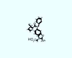 CCCc1nc2cc(N(Cc3ccccc3)C(=O)c3sccc3C)ccc2n1CC(=O)O